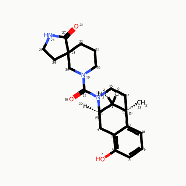 CC1(C)[C@H]2Cc3c(O)cccc3[C@]1(C)CCN2C(=O)N1CCCC2(CCNC2=O)C1